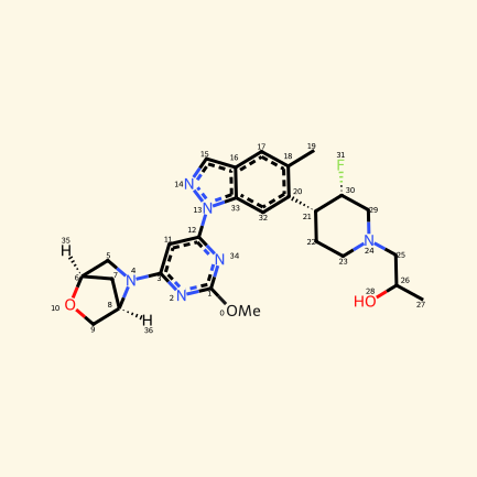 COc1nc(N2C[C@H]3C[C@@H]2CO3)cc(-n2ncc3cc(C)c([C@H]4CCN(CC(C)O)C[C@H]4F)cc32)n1